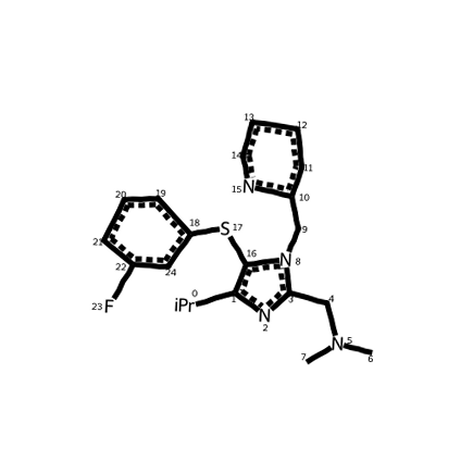 CC(C)c1nc(CN(C)C)n(Cc2ccccn2)c1Sc1cccc(F)c1